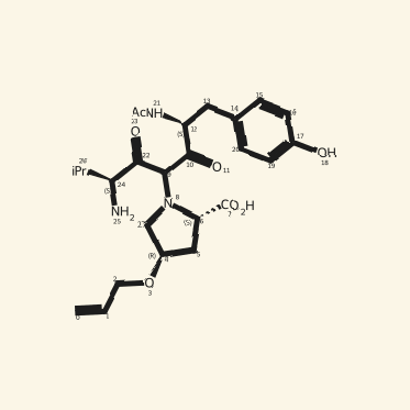 C=CCO[C@@H]1C[C@@H](C(=O)O)N(C(C(=O)[C@H](Cc2ccc(O)cc2)NC(C)=O)C(=O)[C@@H](N)C(C)C)C1